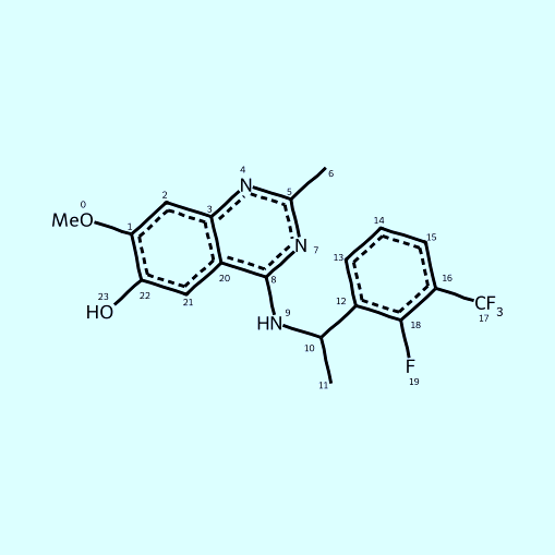 COc1cc2nc(C)nc(NC(C)c3cccc(C(F)(F)F)c3F)c2cc1O